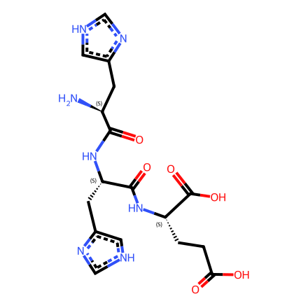 N[C@@H](Cc1c[nH]cn1)C(=O)N[C@@H](Cc1c[nH]cn1)C(=O)N[C@@H](CCC(=O)O)C(=O)O